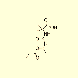 CCCC(=O)OC(C)OC(=O)NC1(C(=O)O)CC1